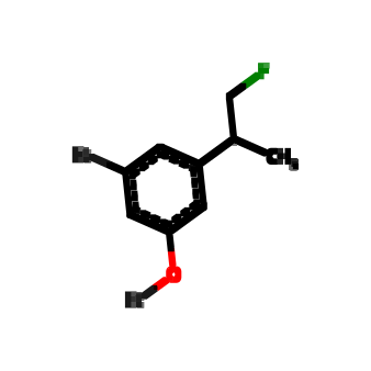 CCOc1cc(CC)cc([C](C)CF)c1